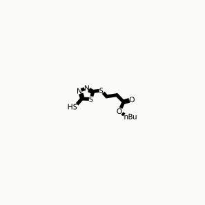 CCCCOC(=O)CCSc1nnc(S)s1